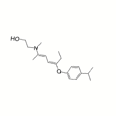 CC/C(=C\C=C(/C)N(C)CCO)Oc1ccc(C(C)C)cc1